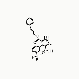 CC1=C(C(=O)O)C(c2cccc(C(F)(F)F)c2)C(C(=O)OCC=Cc2ccccc2)=C(C)N1